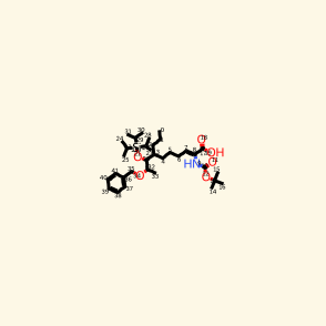 CCCC(CCC/C=C(\NC(=O)OC(C)(C)C)C(=O)O)C(O[Si](C(C)C)(C(C)C)C(C)C)C(C)OCc1ccccc1